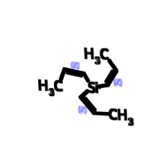 C/C=C\[Si](/C=C\C)/C=C\C